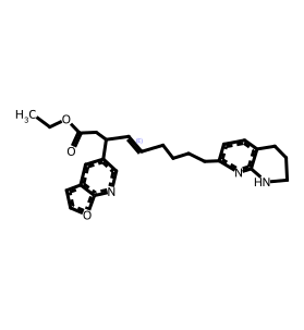 CCOC(=O)CC(/C=C/CCCCc1ccc2c(n1)NCCC2)c1cnc2occc2c1